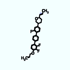 C=CCOc1ccc(-c2ccc(-c3ccc(C4CCC(/C=C/C)OC4)cc3F)cc2)c(F)c1F